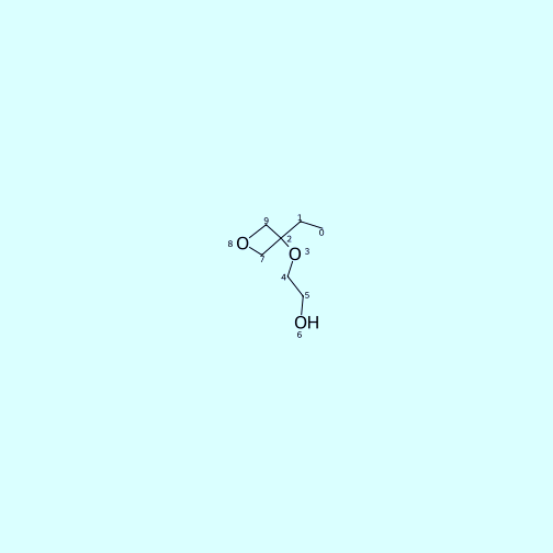 CCC1(OCCO)COC1